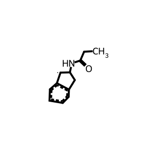 CCC(=O)NC1[CH]c2ccccc2C1